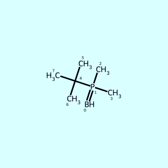 B=P(C)(C)C(C)(C)C